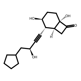 O=C1C[C@H]2[C@H](C#C[C@@H](O)CC3CCCC3)[C@@H](O)CC[C@@]12O